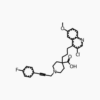 COc1ccc2ncc(Cl)c(CCCC3(C(=O)O)CCN(CC#Cc4ccc(F)cc4)CC3)c2c1